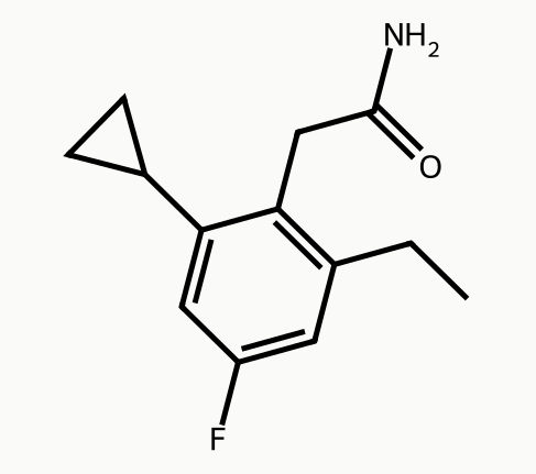 CCc1cc(F)cc(C2CC2)c1CC(N)=O